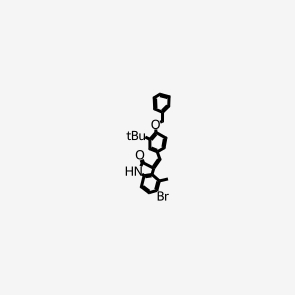 Cc1c(Br)ccc2c1C(=Cc1ccc(OCc3ccccc3)c(C(C)(C)C)c1)C(=O)N2